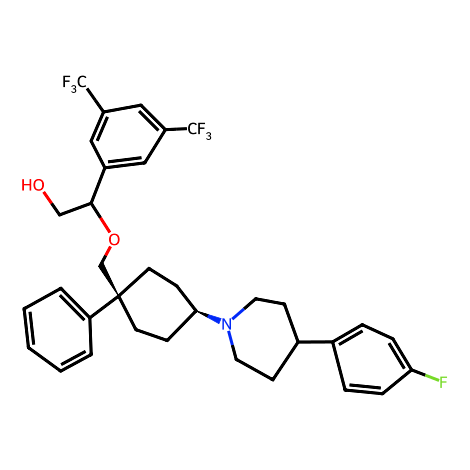 OCC(OC[C@]1(c2ccccc2)CC[C@H](N2CCC(c3ccc(F)cc3)CC2)CC1)c1cc(C(F)(F)F)cc(C(F)(F)F)c1